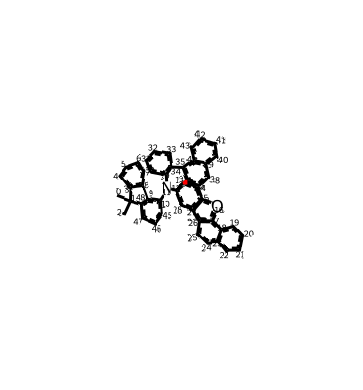 CC1(C)c2ccccc2-c2c(N(c3ccc4oc5c6ccccc6ccc5c4c3)c3ccccc3-c3cccc4ccccc34)cccc21